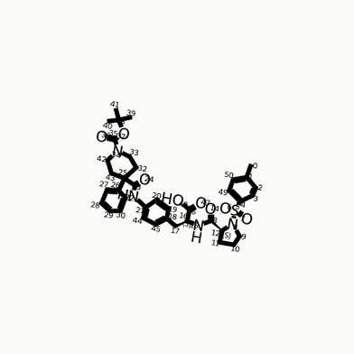 Cc1ccc(S(=O)(=O)N2CCC[C@H]2C(=O)N[C@@H](Cc2ccc(NC(=O)C3(c4ccccc4)CCN(C(=O)OC(C)(C)C)CC3)cc2)C(=O)O)cc1